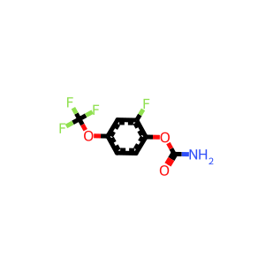 NC(=O)Oc1ccc(OC(F)(F)F)cc1F